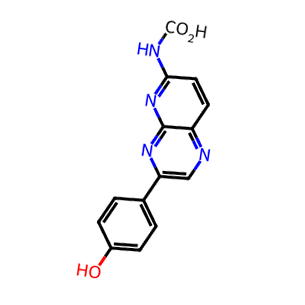 O=C(O)Nc1ccc2ncc(-c3ccc(O)cc3)nc2n1